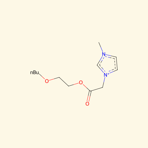 CCCCOCCOC(=O)C[n+]1ccn(C)c1